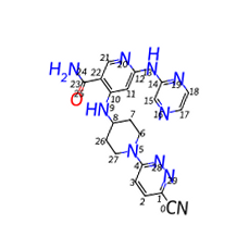 N#Cc1ccc(N2CCC(Nc3cc(Nc4cnccn4)ncc3C(N)=O)CC2)nn1